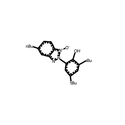 CCCCc1ccc2c(c1)nn(-c1cc(C(C)(C)C)cc(C(C)CC)c1O)[n+]2[O-]